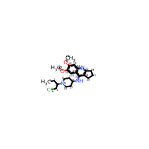 CCC(CCl)N1CCC(Nc2c3c(nc4cc(OC)c(OC)cc24)CCC3)CC1